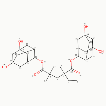 CCC(C)(CC(C)(C)C(=O)OC1C2CC3(O)CC1CC(O)(C2)C3)C(=O)OC1C2CC3(O)CC1CC(O)(C2)C3